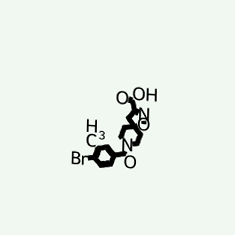 Cc1cc(C(=O)N2CCC3(CC2)CC(C(=O)O)=NO3)ccc1Br